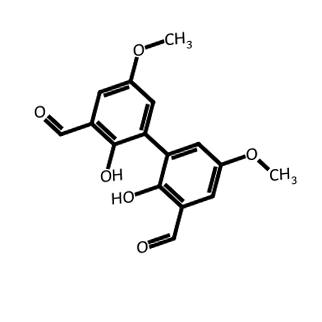 COc1cc(C=O)c(O)c(-c2cc(OC)cc(C=O)c2O)c1